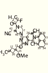 C=C(F)C(=O)N1CCN(c2nc(OCC3(COC)CC(C)C3)nc3c2C[C@@H](C)N(c2cccc4cccc(Cl)c24)C3)C[C@@H]1CC#N